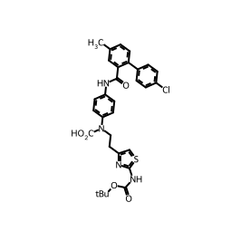 Cc1ccc(-c2ccc(Cl)cc2)c(C(=O)Nc2ccc(N(CCc3csc(NC(=O)OC(C)(C)C)n3)C(=O)O)cc2)c1